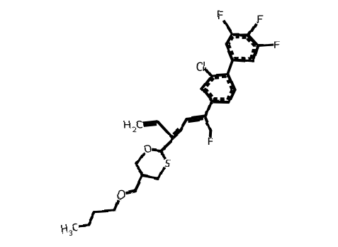 C=C/C(=C\C=C(/CF)c1ccc(-c2cc(F)c(F)c(F)c2)c(Cl)c1)C1OCC(COCCCC)CS1